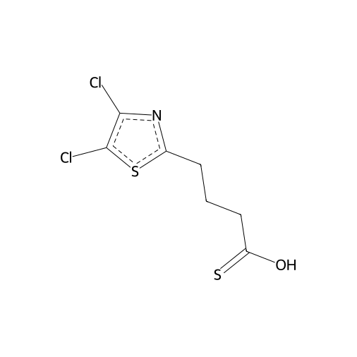 OC(=S)CCCc1nc(Cl)c(Cl)s1